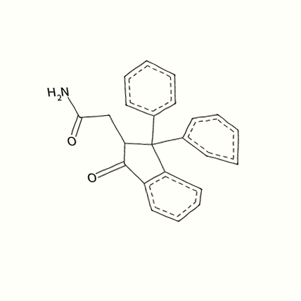 NC(=O)CC1C(=O)c2ccccc2C1(c1ccccc1)c1ccccc1